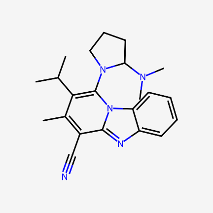 Cc1c(C(C)C)c(N2CCCC2N(C)C)n2c(nc3ccccc32)c1C#N